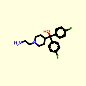 NCCN1CCC(C(O)(c2ccc(F)cc2)c2ccc(F)cc2)CC1